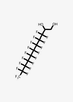 OCC(O)C(F)(F)C(F)(F)C(F)(F)C(F)(F)C(F)(F)C(F)(F)C(F)(F)C(F)(F)C(F)(F)F